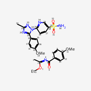 CCOC(C)=NC(=O)c1ccc(OC)cc1.COc1ccc(-c2nc(C)nn2-c2ccc(S(N)(=O)=O)cn2)cc1